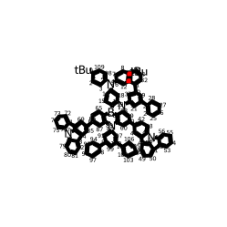 CC(C)(C)c1ccc(N(c2ccc(C(C)(C)C)cc2)c2ccc3c(c2)N(c2cc(-c4ccccc4)cc(-c4ccccc4)c2)c2cc(-c4ccc5c(c4)c4cccc6c7ccccc7n5c64)cc4c2B3c2ccc(-c3cc5c6ccccc6n6c7ccccc7c(c3)c56)cc2N4c2cc(-c3ccccc3)cc(-c3ccccc3)c2)cc1